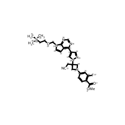 COC(=O)c1ccc(N2CC(CC#N)(n3cc(-c4ncnc5c4ccn5COCC[Si](C)(C)C)cn3)C2)cc1F